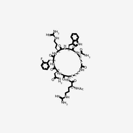 CC(=O)N[C@@H](CCCNC(=N)N)C(=O)N[C@H]1CCCNC(=O)CC[C@@H](C(N)=O)NC(=O)[C@H](Cc2c[nH]c3ccccc23)NC(=O)[C@H](CCCNC(=N)N)NC(=O)[C@@H](Cc2ccccc2F)NC(=O)[C@H](CC(N)=O)NC1=O